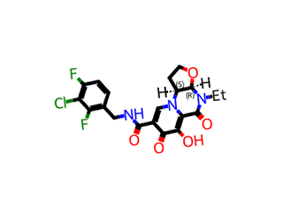 CCN1C(=O)c2c(O)c(=O)c(C(=O)NCc3ccc(F)c(Cl)c3F)cn2[C@H]2CCO[C@H]21